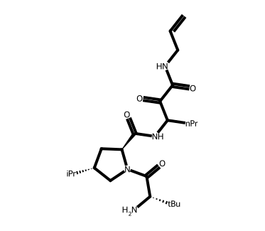 C=CCNC(=O)C(=O)C(CCC)NC(=O)[C@@H]1C[C@@H](C(C)C)CN1C(=O)[C@@H](N)C(C)(C)C